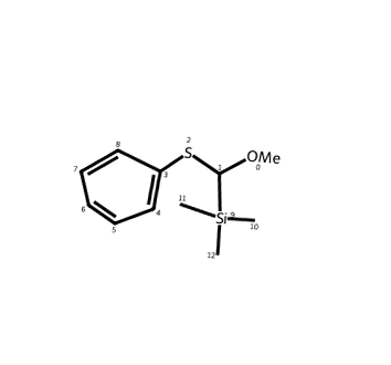 COC(Sc1ccccc1)[Si](C)(C)C